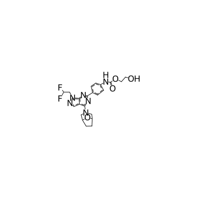 O=C(Nc1ccc(-c2nc(N3CC4CCC(C3)O4)c3cnn(CC(F)F)c3n2)cc1)OCCO